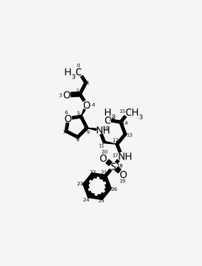 CCC(=O)O[C@@H]1OCC[C@@H]1NC[C@@H](CC(C)C)NS(=O)(=O)c1ccccc1